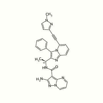 C[C@H](NC(=O)c1c(N)nn2cccnc12)c1nc2cccc(C#Cc3ccn(C)n3)n2c1-c1ccccc1